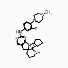 CN1CCN(c2ccc(Nc3ncc4c(n3)N(C3CCCC3)C3(CCCNC3=O)C4)cc2F)CC1